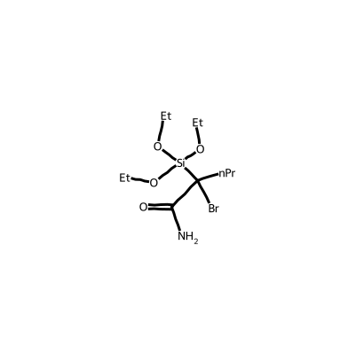 CCCC(Br)(C(N)=O)[Si](OCC)(OCC)OCC